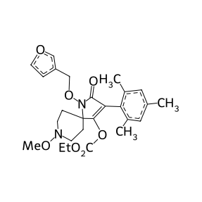 CCOC(=O)OC1=C(c2c(C)cc(C)cc2C)C(=O)N(OCc2ccoc2)C12CCN(OC)CC2